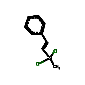 C[Si](Cl)(Cl)C=Cc1ccccc1